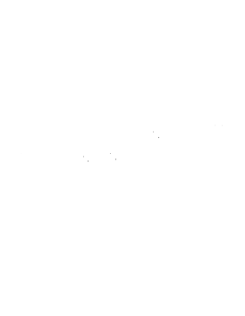 O=c1c2ccccc2n2nc(CNCCO)c3cccc1c32